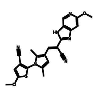 COc1cc2nc(C(C#N)=Cc3cc(C)n(-c4sc(OC)cc4C#N)c3C)[nH]c2cn1